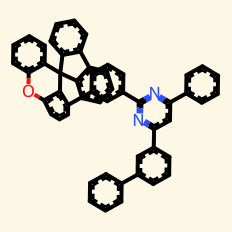 c1ccc(-c2cccc(-c3cc(-c4ccccc4)nc(-c4cccc(-c5cccc6c5C5(c7ccccc7O6)c6ccccc6-c6ccccc65)c4)n3)c2)cc1